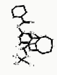 CC(C)(C)OC(=O)NC1C2CCCCCC1(C)c1cc(OC(=O)C3CCCCC3)cc(F)c1C2